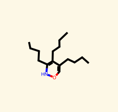 CCCCC1=CONC(CCCC)=C1CCCC